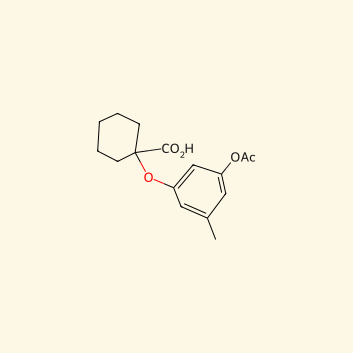 CC(=O)Oc1cc(C)cc(OC2(C(=O)O)CCCCC2)c1